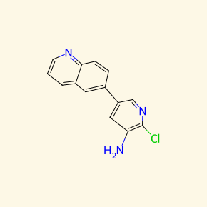 Nc1cc(-c2ccc3ncccc3c2)cnc1Cl